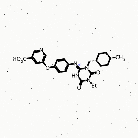 CCn1c(=O)[nH]/c(=N\c2ccc(Oc3cncc(C(=O)O)c3)cc2)n(C[C@H]2CC[C@H](C)CC2)c1=O